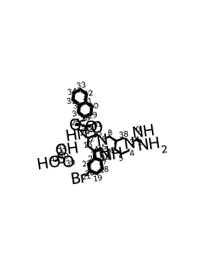 N=C(N)N1CCCC(CNC(=O)C(Cc2c[nH]c3ccc(Br)cc23)NS(=O)(=O)c2ccc3ccccc3c2)C1.O=S(O)O